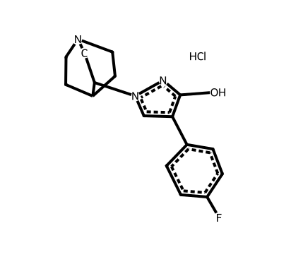 Cl.Oc1nn(C2CN3CCC2CC3)cc1-c1ccc(F)cc1